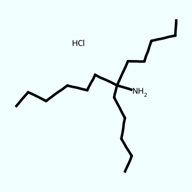 CCCCCCC(N)(CCCCC)CCCCC.Cl